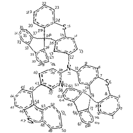 c1ccc2c(c1)Sc1ccc(N(c3ccc4c(c3)C3(c5ccccc5S4)c4ccccc4-c4ccccc43)c3ccc(-c4cccc5sc6ccccc6c45)cn3)cc1C21c2ccccc2-c2ccccc21